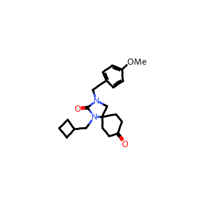 COc1ccc(CN2CC3(CCC(=O)CC3)N(CC3CCC3)C2=O)cc1